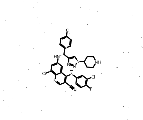 N#Cc1cnc2c(Cl)cc(N[C@H](c3ccc(Cl)cc3)c3cn(C4CCNCC4)nn3)cc2c1Nc1ccc(F)c(Cl)c1